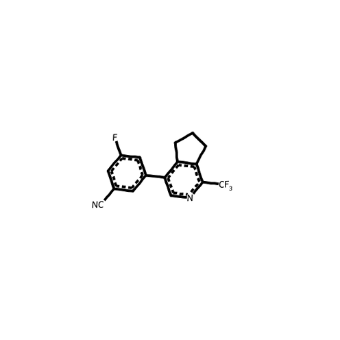 N#Cc1cc(F)cc(-c2cnc(C(F)(F)F)c3c2CCC3)c1